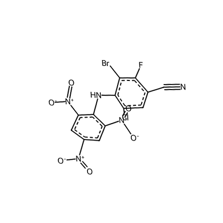 N#Cc1cc(Cl)c(Nc2c([N+](=O)[O-])cc([N+](=O)[O-])cc2[N+](=O)[O-])c(Br)c1F